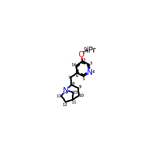 CC(C)Oc1cncc(CC2CCC3CCN2C3)c1